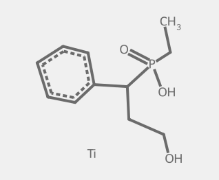 CCP(=O)(O)C(CCO)c1ccccc1.[Ti]